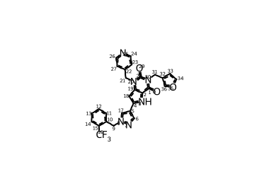 O=c1c2[nH]c(-c3cnn(Cc4ccccc4C(F)(F)F)c3)cc2n(Cc2ccncc2)c(=O)n1Cc1ccoc1